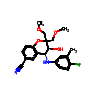 COCC1(COC)Oc2ccc(C#N)cc2[C@@H](Nc2ccc(F)c(C)c2)[C@@H]1O